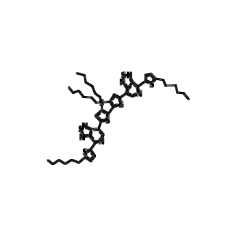 CCCCCCc1ccc(-c2ncc(-c3cc4c(s3)-c3sc(-c5cnc(-c6ccc(CCCCCC)s6)c6nsnc56)cc3S4(CCCCCC)CCCCCC)c3nsnc23)s1